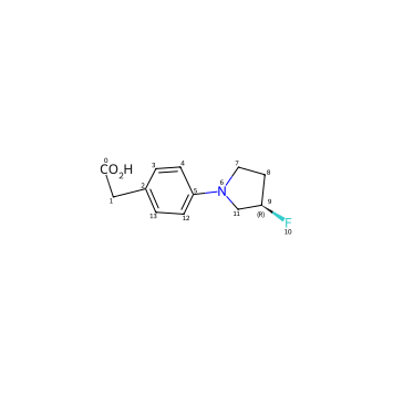 O=C(O)Cc1ccc(N2CC[C@@H](F)C2)cc1